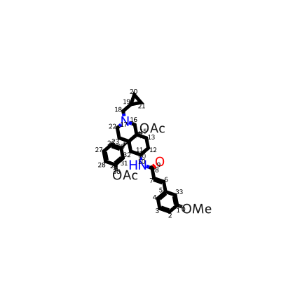 COc1cccc(C=CC(=O)N[C@@H]2CC[C@]3(OC(C)=O)CN(CC4CC4)CC[C@@]3(c3cccc(OC(C)=O)c3)C2)c1